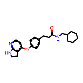 O=C(CCc1ccc(Oc2ccnc3c2CCN3)cc1)NCC1CCCCC1